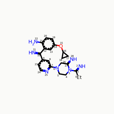 CCC(=N)N1CCN(c2cc(C(=N)c3cc(OC4CC4)ccc3N)ccn2)CC1=N